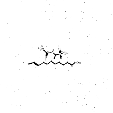 CC=CCCCCCCCCCCCCCCCCCC.CNS(=O)(=O)C(C)OC(N)=O